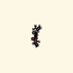 N#CC(C#N)=C1/C(=C/C2=Cc3sc4c(sc5c6c(sc54)C=C(/C=C4/C(=O)c5cc(F)c(F)cc5C4=C(C#N)C#N)C64CCCCC4)c3C23CCCCC3)C(=O)c2cc(F)c(F)cc21